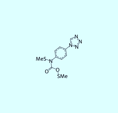 CSOC(=O)N(SC)c1ccc(-n2cnnn2)cc1